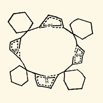 c1cc2[nH]c1C1(CCCCC1)c1ccc([nH]1)C1(CCCCC1)c1ccc([nH]1)C1(CCCCC1)c1ccc([nH]1)C21CCCCC1